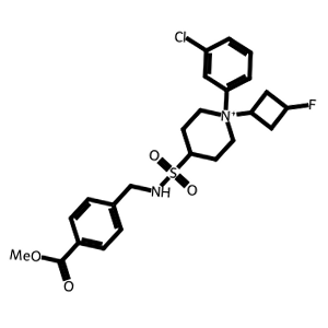 COC(=O)c1ccc(CNS(=O)(=O)C2CC[N+](c3cccc(Cl)c3)(C3CC(F)C3)CC2)cc1